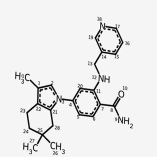 Cc1cn(-c2ccc(C(N)=O)c(NCc3cccnc3)c2)c2c1CCC(C)(C)C2